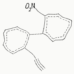 C#Cc1ccccc1-c1ccccc1[N+](=O)[O-]